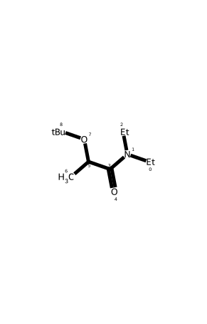 CCN(CC)C(=O)C(C)OC(C)(C)C